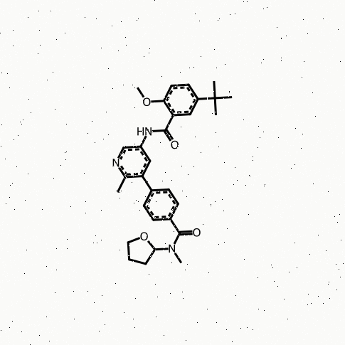 COc1ccc(C(C)(C)C)cc1C(=O)Nc1cnc(C)c(-c2ccc(C(=O)N(C)C3CCCO3)cc2)c1